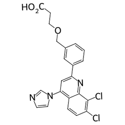 O=C(O)CCOCc1cccc(-c2cc(-n3ccnc3)c3ccc(Cl)c(Cl)c3n2)c1